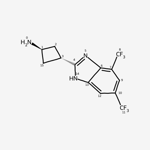 N[C@H]1C[C@H](c2nc3c(C(F)(F)F)cc(C(F)(F)F)cc3[nH]2)C1